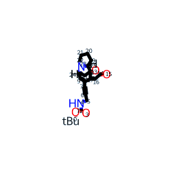 CC(C)(C)OC(=O)NCC#CC1=C[C@@H]2C[C@@]3(OC(=O)C=C13)[C@H]1CCCCN21